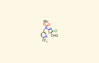 CC(C)(C)OC(=O)N(Cc1ccc(C(F)(F)F)nc1)c1nc(Cl)c(C=O)s1